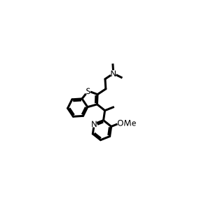 COc1cccnc1C(C)c1c(CCN(C)C)sc2ccccc12